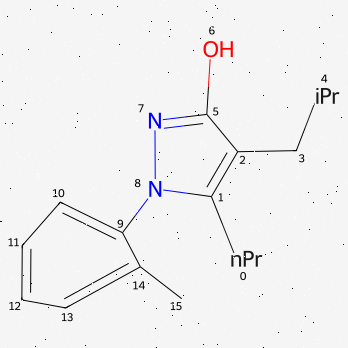 CCCc1c(CC(C)C)c(O)nn1-c1ccccc1C